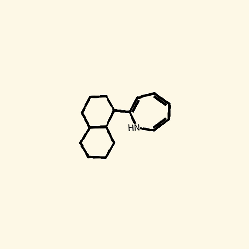 C1=CC=C(C2CCCC3CCCCC32)NC=C1